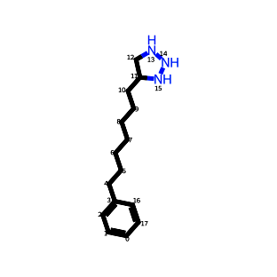 c1ccc(CCCCCCCC2CNNN2)cc1